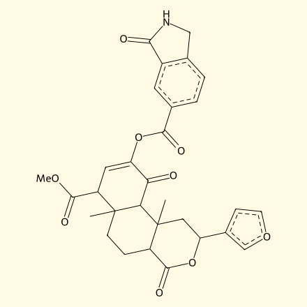 COC(=O)C1C=C(OC(=O)c2ccc3c(c2)C(=O)NC3)C(=O)C2C1(C)CCC1C(=O)OC(c3ccoc3)CC12C